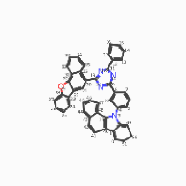 C1=c2c(n(-c3cccc(-c4nc(-c5ccccc5)nc(-c5cc6c7ccccc7oc6c6ccccc56)n4)c3)c3c2ccc2ccccc23)=CCC1